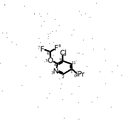 CC(C)c1cnc(OC(F)F)c(Cl)c1